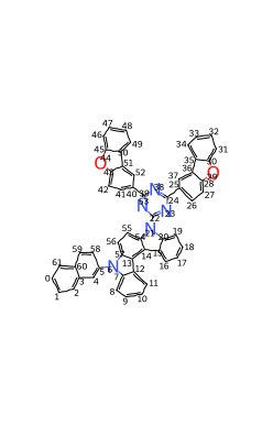 c1ccc2cc(-n3c4ccccc4c4c5c6ccccc6n(-c6nc(-c7ccc8oc9ccccc9c8c7)nc(-c7ccc8oc9ccccc9c8c7)n6)c5ccc43)ccc2c1